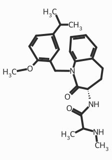 CNC(C)C(=O)N[C@H]1CCc2ccccc2N(Cc2cc(C(C)C)ccc2OC)C1=O